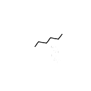 CCCCCC.N.N.O.O